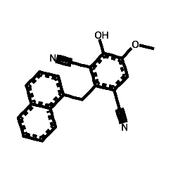 COc1cc(C#N)c(Cc2cccc3ccccc23)c(C#N)c1O